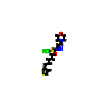 Cl.S=C(NCCN1CCOCC1)OCCCCC[C@H]1CCSS1